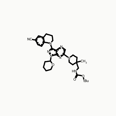 CC1(CNC(=O)OC(C)(C)C)CCN(c2cnc3c(N4CCCc5cc(C#N)ccc54)nn(C4CCCCO4)c3n2)CC1